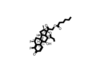 CCCCCC(=O)OCC(=O)[C@@]1(OC(=O)CC)[C@H](C)C[C@H]2[C@@H]3C[C@H](F)C4=C(F)C(=O)C=C[C@]4(C)[C@@]3(F)[C@@H](O)C[C@@]21C